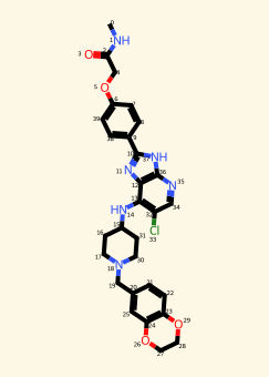 CNC(=O)COc1ccc(-c2nc3c(NC4CCN(Cc5ccc6c(c5)OCCO6)CC4)c(Cl)cnc3[nH]2)cc1